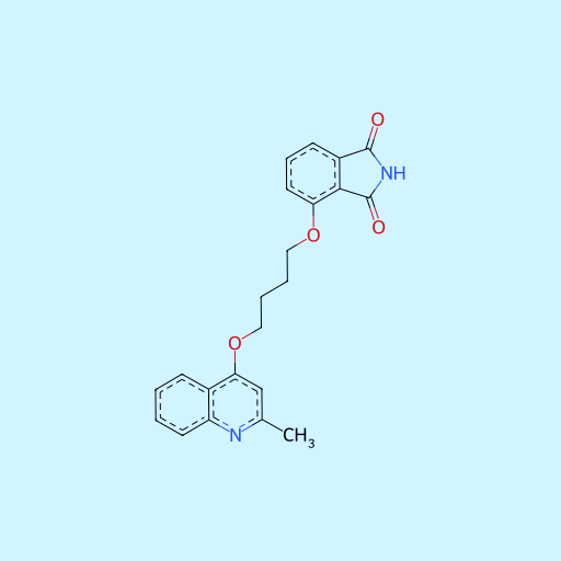 Cc1cc(OCCCCOc2cccc3c2C(=O)NC3=O)c2ccccc2n1